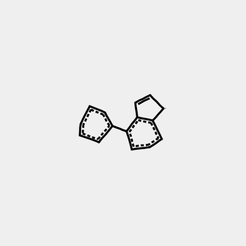 [CH]1C=Cc2c1cccc2-c1ccccc1